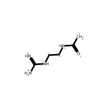 [CH2]C(=O)NCCNC(=N)N